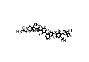 COc1cc(OC2CCc3c(-c4cccc(NC(=O)c5nc6c(n5C)CCN(CC(C)O)C6)c4Cl)cccc32)c(Cl)c(F)c1CNC1(C(=O)O)CCC1